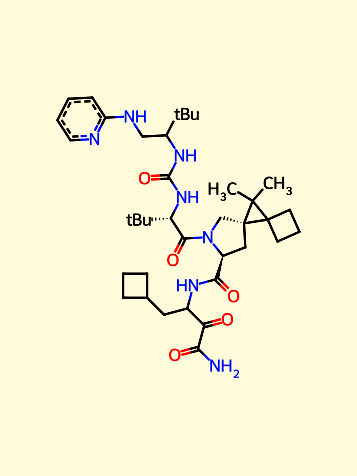 CC(C)(C)C(CNc1ccccn1)NC(=O)N[C@H](C(=O)N1C[C@]2(C[C@H]1C(=O)NC(CC1CCC1)C(=O)C(N)=O)C(C)(C)C21CCC1)C(C)(C)C